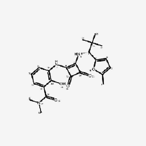 Cc1ccc([C@H](Nc2c(Nc3cccc(C(=O)N(C)C)c3O)c(=O)c2=O)C(C)(C)C)o1